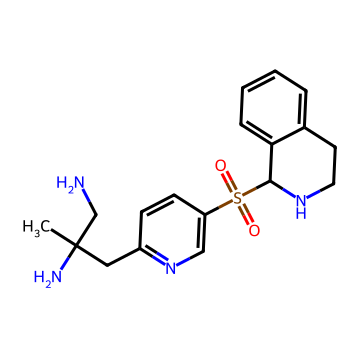 CC(N)(CN)Cc1ccc(S(=O)(=O)C2NCCc3ccccc32)cn1